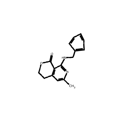 Cc1cc2c(c(NCc3ccccc3)n1)C(=O)OCC2